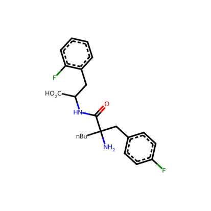 CCCCC(N)(Cc1ccc(F)cc1)C(=O)NC(Cc1ccccc1F)C(=O)O